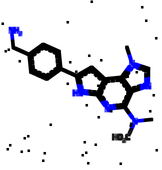 CN(C(=O)O)c1nc2[nH]c(-c3ccc(CN)cc3)cc2c2c1ncn2C